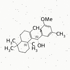 COc1cc(C)cc([C@H](O)C2=C(C)CCC3C(C)(C)CCC[C@]23C)c1